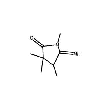 CC1C(=N)N(C)C(=O)C1(C)C